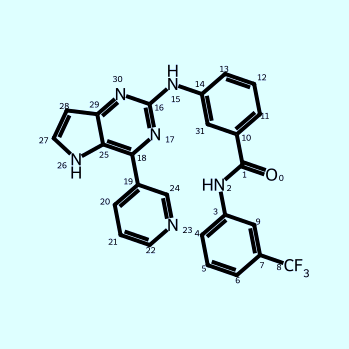 O=C(Nc1cccc(C(F)(F)F)c1)c1cccc(Nc2nc(-c3cccnc3)c3[nH]ccc3n2)c1